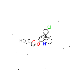 CCCCC1(C)CCCC2=NC3=C(Oc4ccc(C(=O)O)o4)C=CC(c4ccc(Cl)cc4)C3=C21